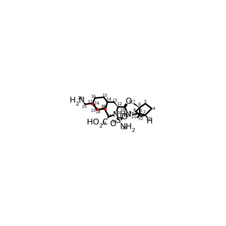 CC1(C)[C@@H]2CC[C@@]1(C)[C@@H](NC(=O)[C@H](CC1CCCCC1)N([C@@H](CCCCN)C(=O)O)S(N)(=O)=O)C2